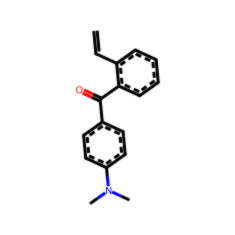 C=Cc1ccccc1C(=O)c1ccc(N(C)C)cc1